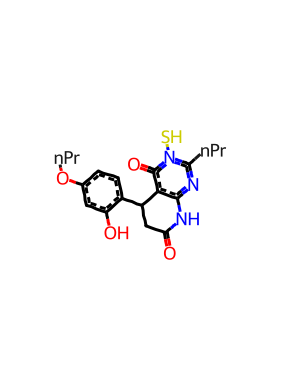 CCCOc1ccc(C2CC(=O)Nc3nc(CCC)n(S)c(=O)c32)c(O)c1